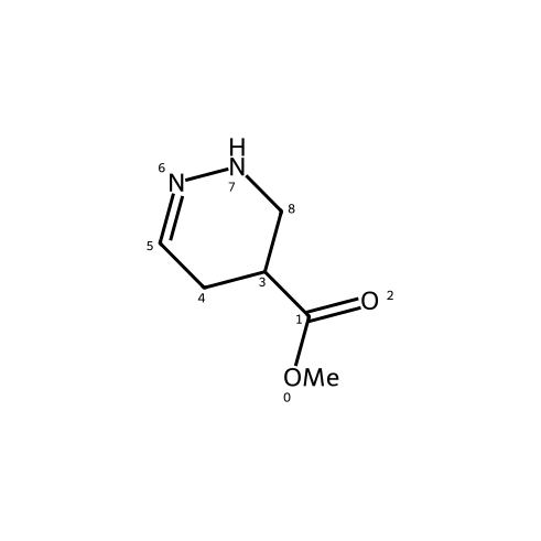 COC(=O)C1CC=NNC1